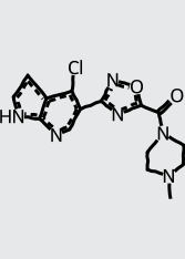 CN1CCN(C(=O)c2nc(-c3cnc4[nH]ccc4c3Cl)no2)CC1